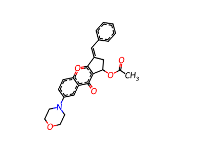 CC(=O)OC1CC(=Cc2ccccc2)c2oc3ccc(N4CCOCC4)cc3c(=O)c21